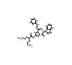 CCCC(CCC)C(=O)O[C@@H]1C[C@@H](C(=O)On2nnc3ccccc32)N(C(=O)OCc2ccccc2)C1